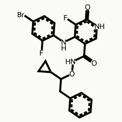 O=C(NOC(Cc1ccccc1)C1CC1)c1c[nH]c(=O)c(F)c1Nc1ccc(Br)cc1F